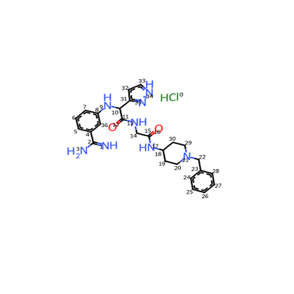 Cl.N=C(N)c1cccc(NC(C(=O)NCC(=O)NC2CCN(Cc3ccccc3)CC2)c2cc[nH]n2)c1